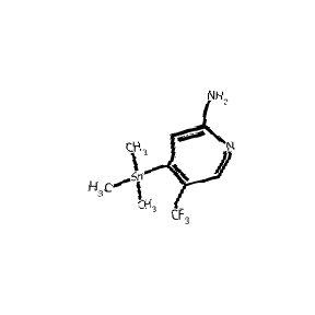 [CH3][Sn]([CH3])([CH3])[c]1cc(N)ncc1C(F)(F)F